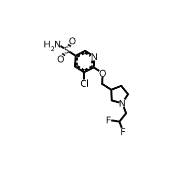 NS(=O)(=O)c1cnc(OCC2CCN(CC(F)F)C2)c(Cl)c1